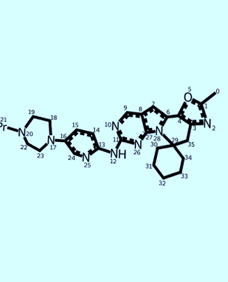 Cc1nc2c(o1)-c1cc3cnc(Nc4ccc(N5CCN(C(C)C)CC5)cn4)nc3n1C1(CCCCC1)C2